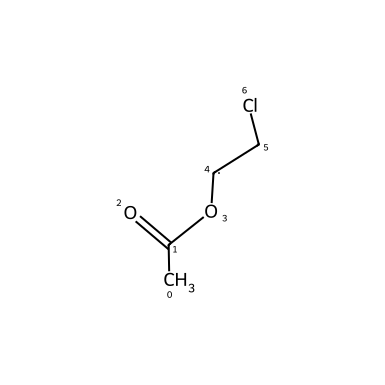 CC(=O)O[CH]CCl